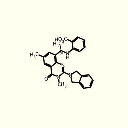 Cc1cc([C@@H](C)Nc2ccccc2C(=O)O)c2nc(N3Cc4ccccc4C3)n(C)c(=O)c2c1